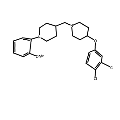 COc1ccccc1N1CCC(CN2CCC(Oc3ccc(Cl)c(Cl)c3)CC2)CC1